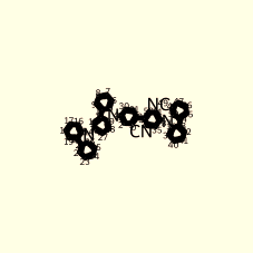 N#Cc1cc(-n2c3ccccc3c3cc(-n4c5ccccc5c5ccccc54)ccc32)ccc1-c1ccc(-n2c3ccccc3c3cccc(C#N)c32)cc1